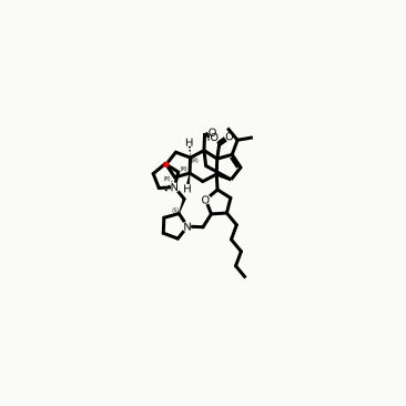 CCCCCC1CC(C23C[C@@H]4[C@H](C)CC[C@H]4C4(C=O)CC2C=C(C(C)C)C34C(=O)O)OC1CN1CCC[C@H]1CN1CCCC1